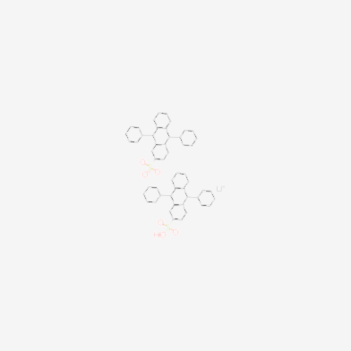 O=S(=O)(O)c1ccc2c(-c3ccccc3)c3ccccc3c(-c3ccccc3)c2c1.O=S(=O)([O-])c1ccc2c(-c3ccccc3)c3ccccc3c(-c3ccccc3)c2c1.[Li+]